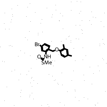 CSC(=O)Nc1cc(Br)ccc1COc1ccc(C)cc1C